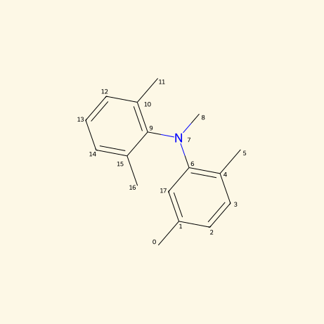 Cc1ccc(C)c(N(C)c2c(C)cccc2C)c1